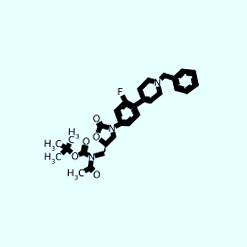 CC(=O)N(C[C@H]1CN(c2ccc(C3=CCN(Cc4ccccc4)CC3)c(F)c2)C(=O)O1)C(=O)OC(C)(C)C